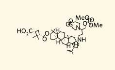 C=C(C)[C@@H]1CC[C@]2(NCCC(COP(=O)(OC)OC)N3CCS(=O)(=O)CC3)CC[C@]3(C)[C@H](CC[C@@H]4[C@@]5(C)CC[C@H](OC(=O)[C@H]6C[C@@H](C(=O)O)C6(C)C)C(C)(C)[C@@H]5CC[C@]43C)[C@@H]12